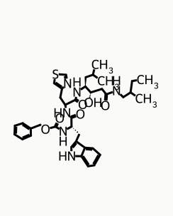 CCC(C)CNC(=O)C[C@H](O)[C@H](CC(C)C)NC(=O)C(Cc1cscn1)NC(=O)[C@H](Cc1c[nH]c2ccccc12)NC(=O)OCc1ccccc1